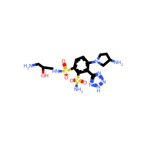 NCC(O)CNS(=O)(=O)c1ccc(N2CCC(N)C2)c(-c2nn[nH]n2)c1S(N)(=O)=O